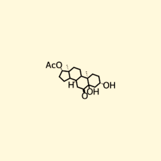 CC(=O)O[C@H]1CCC2[C@@H]3CC(=O)C4(O)C[C@@H](O)CC[C@]4(C)C3CC[C@@]21C